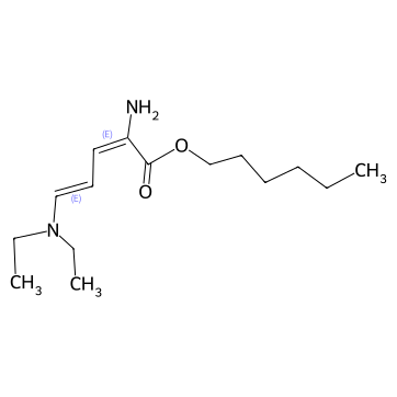 CCCCCCOC(=O)/C(N)=C\C=C\N(CC)CC